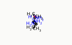 C=C(C)CCC1=C2CC3(N)CCC(CC[C@H](CCCCC)CP(=C)(N)N)C3(N)CC2=CCC1